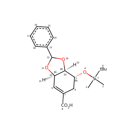 CC(C)(C)[Si](C)(C)O[C@@H]1CC(C(=O)O)=C[C@H]2OC(c3ccccc3)O[C@H]21